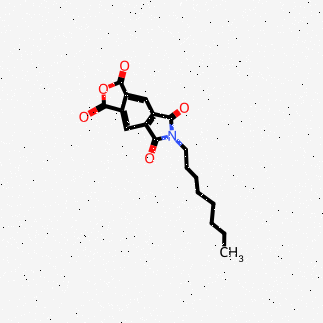 CCCCCCCCn1c(=O)c2cc3c(=O)oc(=O)c3cc2c1=O